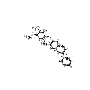 CC(C)C(=C/N)/C=C(\N)Nc1ccc2ncc(-c3cnccn3)cc2n1